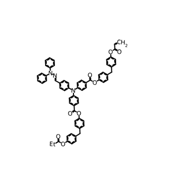 C=CC(=O)Oc1ccc(Cc2ccc(OC(=O)c3ccc(N(c4ccc(C=NN(c5ccccc5)c5ccccc5)cc4)c4ccc(C(=O)Oc5ccc(Cc6ccc(OC(=O)CC)cc6)cc5)cc4)cc3)cc2)cc1